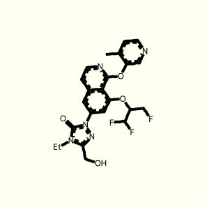 CCn1c(CO)nn(-c2cc(OC(CF)C(F)F)c3c(Oc4cnccc4C)nccc3c2)c1=O